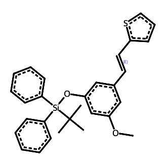 COc1cc(/C=C/c2cccs2)cc(O[Si](c2ccccc2)(c2ccccc2)C(C)(C)C)c1